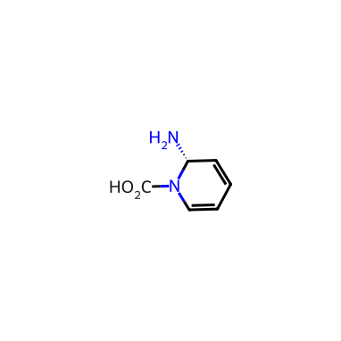 N[C@@H]1C=CC=CN1C(=O)O